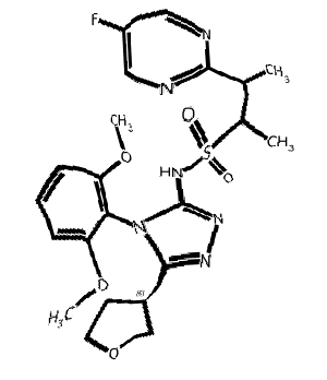 COc1cccc(OC)c1-n1c(NS(=O)(=O)C(C)C(C)c2ncc(F)cn2)nnc1[C@@H]1CCOC1